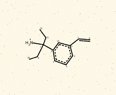 C=Cc1cccc(C(N)(CC)CC)c1